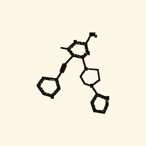 Cc1nc(N)nc(N2CCN(c3ccccn3)CC2)c1C#Cc1cccnc1